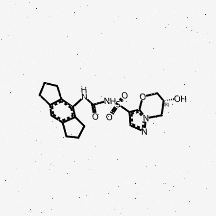 O=C(Nc1c2c(cc3c1CCC3)CCC2)NS(=O)(=O)c1cnn2c1OC[C@H](O)C2